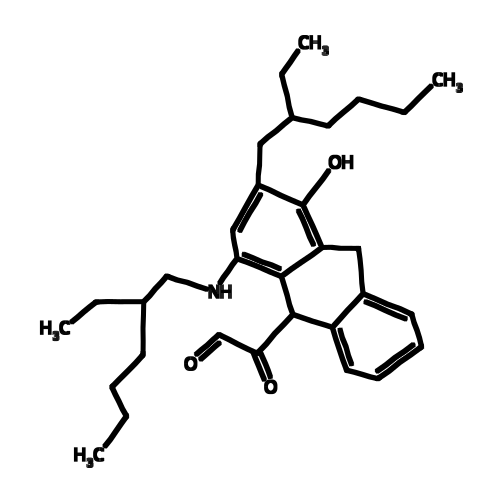 CCCCC(CC)CNc1cc(CC(CC)CCCC)c(O)c2c1C(C(=O)C=O)c1ccccc1C2